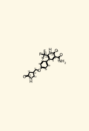 NC(=O)c1cc(-c2ccc(OCC3CNC(=O)C3)cc2)c(C(F)(F)F)[nH]c1=O